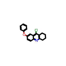 Clc1c2c(nc3ccc(Oc4ccccc4)cc13)CCCC2